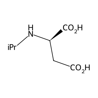 CC(C)N[C@H](CC(=O)O)C(=O)O